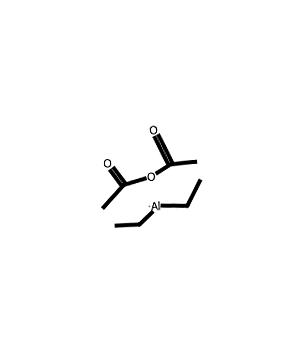 CC(=O)OC(C)=O.C[CH2][Al][CH2]C